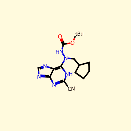 CC(C)(C)OC(=O)NN(CC1CCCC1)c1[nH]c(C#N)nc2ncnc1-2